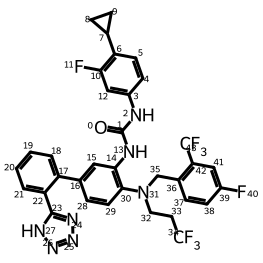 O=C(Nc1ccc(C2CC2)c(F)c1)Nc1cc(-c2ccccc2-c2nnn[nH]2)ccc1N(CCC(F)(F)F)Cc1ccc(F)cc1C(F)(F)F